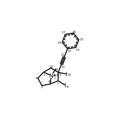 C[N+]1(C)C2CCC1C(I)C(I)(C#Cc1ccccc1)C2